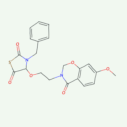 COc1ccc2c(c1)OCN(CCOC1C(=O)SC(=O)N1Cc1ccccc1)C2=O